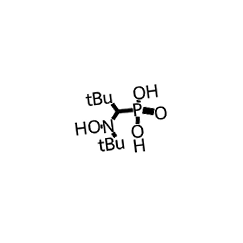 CC(C)(C)C(N(O)C(C)(C)C)P(=O)(O)O